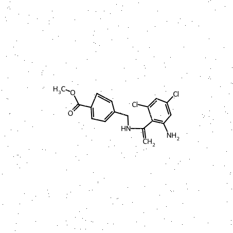 C=C(NCc1ccc(C(=O)OC)cc1)c1c(N)cc(Cl)cc1Cl